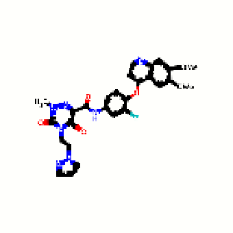 COc1cc2nccc(Oc3ccc(NC(=O)c4nn(C)c(=O)n(CCn5cccn5)c4=O)cc3F)c2cc1OC